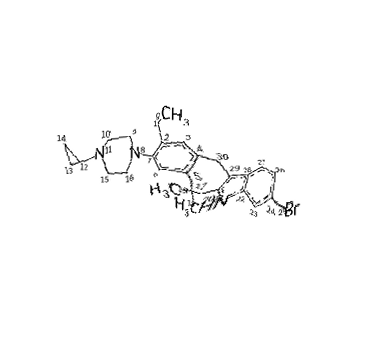 CCc1cc2c(cc1N1CCN(C3CC3)CC1)C(C)(C)c1[nH]c3cc(Br)ccc3c1C2